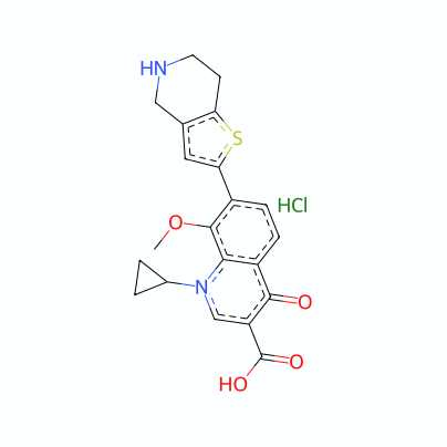 COc1c(-c2cc3c(s2)CCNC3)ccc2c(=O)c(C(=O)O)cn(C3CC3)c12.Cl